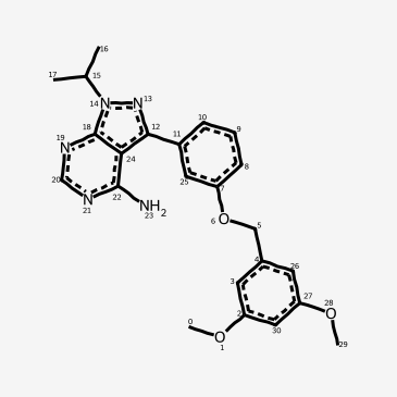 COc1cc(COc2cccc(-c3nn(C(C)C)c4ncnc(N)c34)c2)cc(OC)c1